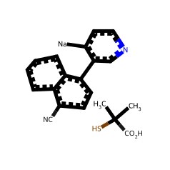 CC(C)(S)C(=O)O.N#Cc1ccc(-c2cncc[c]2[Na])c2ccccc12